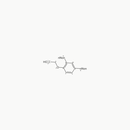 CCCCCCCCCc1ccc(OCC(=O)O)c(CCCCCCCCC)c1